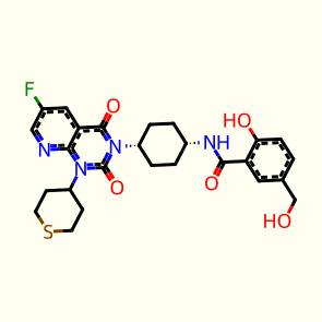 O=C(N[C@H]1CC[C@@H](n2c(=O)c3cc(F)cnc3n(C3CCSCC3)c2=O)CC1)c1cc(CO)ccc1O